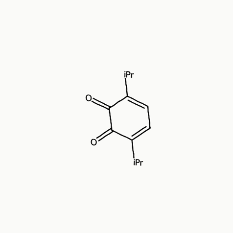 CC(C)C1=CC=C(C(C)C)C(=O)C1=O